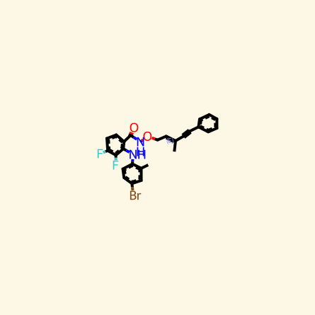 C/C(C#Cc1ccccc1)=C\CONC(=O)c1ccc(F)c(F)c1Nc1ccc(Br)cc1C